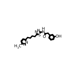 Cc1ccc(CCCCc2nnc(NC(=O)Cc3cccc(O)c3)s2)nn1